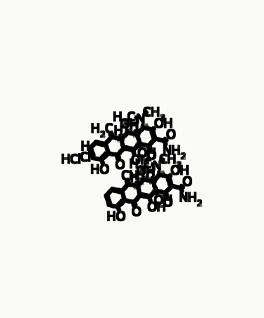 C=C1c2cccc(O)c2C(=O)C2=C(O)[C@]3(O)C(=O)C(C(N)=O)=C(O)[C@@H](N(C)C)[C@@H]3[C@@H](O)[C@H]12.C=C1c2cccc(O)c2C(=O)C2=C(O)[C@]3(O)C(=O)C(C(N)=O)=C(O)[C@@H](N(C)C)[C@@H]3[C@@H](O)[C@H]12.Cl.Cl